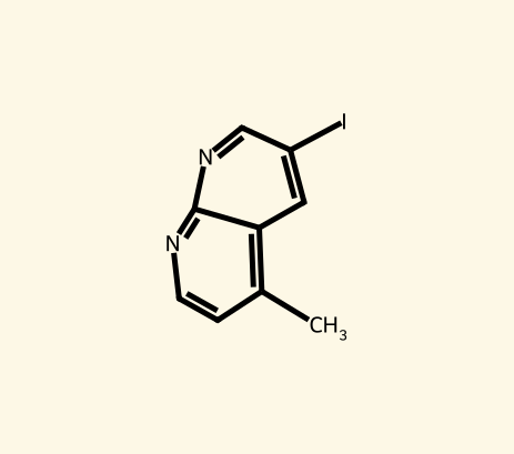 Cc1ccnc2ncc(I)cc12